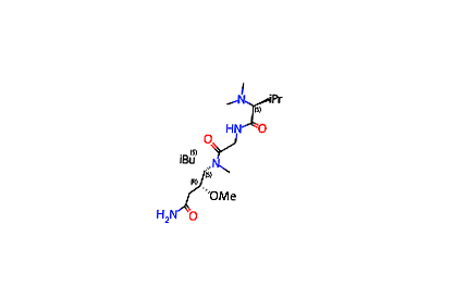 CC[C@H](C)[C@@H]([C@@H](CC(N)=O)OC)N(C)C(=O)CNC(=O)[C@H](C(C)C)N(C)C